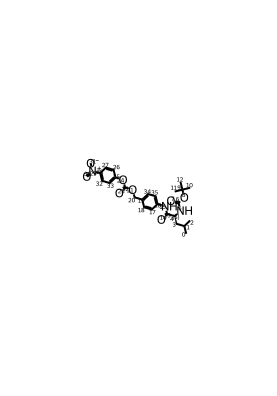 CC(C)C[C@H](NC(=O)OC(C)(C)C)C(=O)Nc1ccc(COC(=O)Oc2ccc([N+](=O)[O-])cc2)cc1